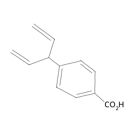 C=CC(C=C)c1ccc(C(=O)O)cc1